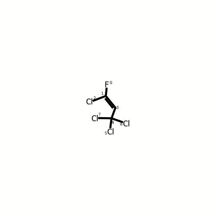 FC(Cl)=CC(Cl)(Cl)Cl